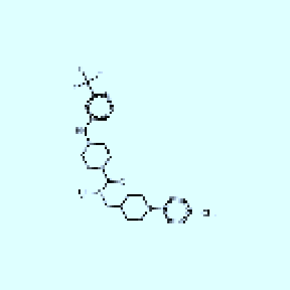 Cc1ccc(N2CCC(CN(C)C(=O)N3CCC(Nc4ccnc(C(F)(F)F)c4)CC3)CC2)cc1